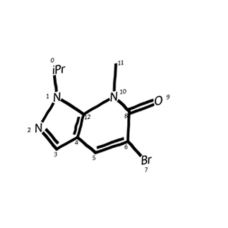 CC(C)n1ncc2cc(Br)c(=O)n(C)c21